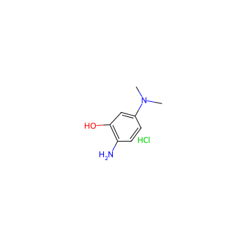 CN(C)c1ccc(N)c(O)c1.Cl